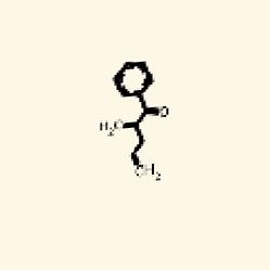 C=CCC(=C)C(=O)c1ccccc1